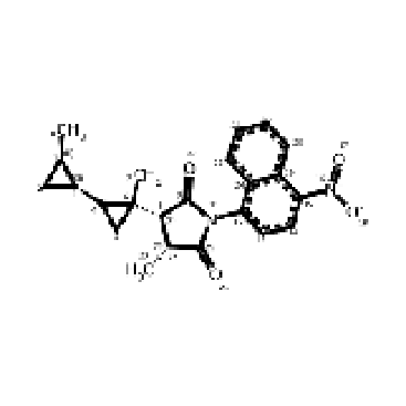 C[C@@H]1C[C@@H]1C1CC1(C)[C@@H]1C(=O)N(c2ccc([N+](=O)[O-])c3ccccc23)C(=O)[C@@H]1C